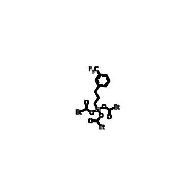 CCC(=O)O[Si](CCCc1cccc(C(F)(F)F)c1)(OC(=O)CC)OC(=O)CC